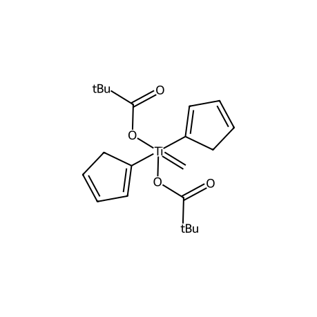 [CH2]=[Ti]([O]C(=O)C(C)(C)C)([O]C(=O)C(C)(C)C)([C]1=CC=CC1)[C]1=CC=CC1